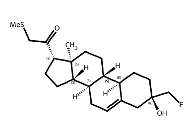 CSCC(=O)[C@H]1CC[C@H]2[C@@H]3CC=C4C[C@@](O)(CF)CC[C@@H]4[C@H]3CC[C@]12C